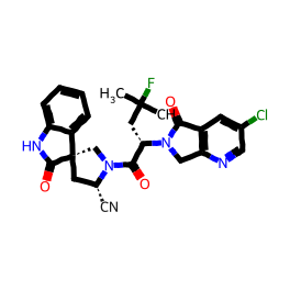 CC(C)(F)C[C@@H](C(=O)N1C[C@]2(C[C@H]1C#N)C(=O)Nc1ccccc12)N1Cc2ncc(Cl)cc2C1=O